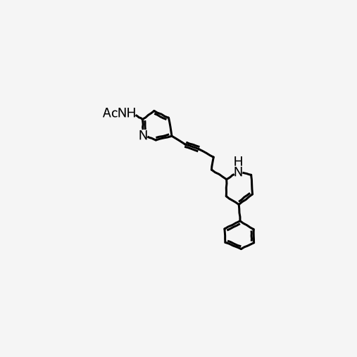 CC(=O)Nc1ccc(C#CCCC2CC(c3ccccc3)=CCN2)cn1